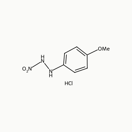 COc1ccc(NN[N+](=O)[O-])cc1.Cl